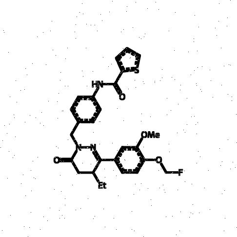 CCC1CC(=O)N(Cc2ccc(NC(=O)c3cccs3)cc2)N=C1c1ccc(OCF)c(OC)c1